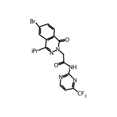 CC(C)c1nn(CC(=O)Nc2nccc(C(F)(F)F)n2)c(=O)c2ccc(Br)cc12